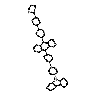 c1ccc(-c2ccc(-c3ccc(-c4c5ccccc5c(-c5ccc(-c6ccc(-n7c8ccccc8c8ccccc87)cc6)cc5)c5ccccc45)cc3)cc2)nc1